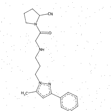 Cc1cc(-c2ccccc2)nn1CCCNCC(=O)N1CCCC1C#N